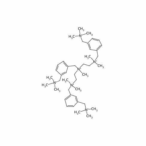 C[N+](C)(C)Cc1cccc(C[N+](C)(C)CC[N+](C)(CC[N+](C)(C)Cc2cccc(C[N+](C)(C)C)c2)Cc2cccc(C[N+](C)(C)C)c2)c1